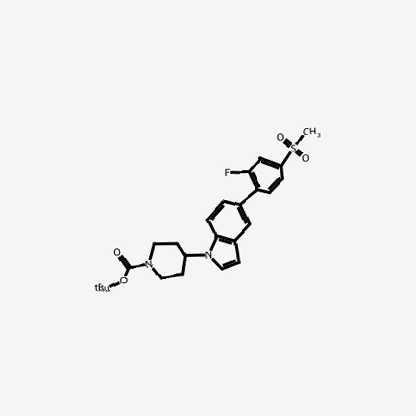 CC(C)(C)OC(=O)N1CCC(n2ccc3cc(-c4ccc(S(C)(=O)=O)cc4F)ccc32)CC1